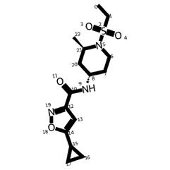 CCS(=O)(=O)N1CC[C@H](NC(=O)c2cc(C3CC3)on2)C[C@H]1C